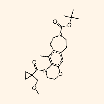 COCC1(C(=O)N2CCOc3cc4c(c(C)c32)CCN(C(=O)OC(C)(C)C)CC4)CC1